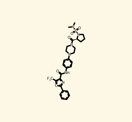 CN(C)S(=O)(=O)N1CCC[C@H]1C(=O)N1CCN(c2ccc(NC(=O)c3nc(-c4ccccc4)oc3C(F)(F)F)cc2)CC1